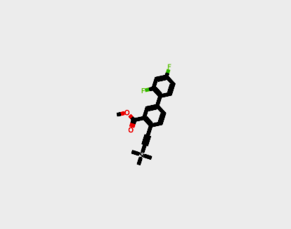 COC(=O)c1cc(-c2ccc(F)cc2F)ccc1C#C[Si](C)(C)C